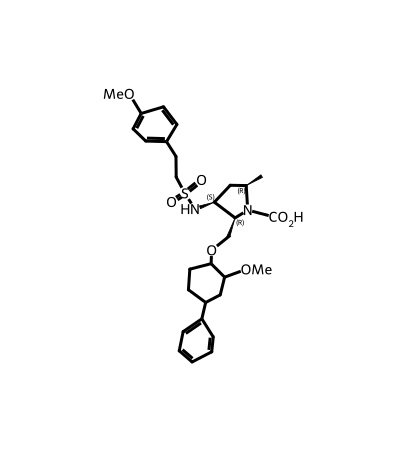 COc1ccc(CCS(=O)(=O)N[C@H]2C[C@@H](C)N(C(=O)O)[C@H]2COC2CCC(c3ccccc3)CC2OC)cc1